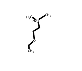 CCOC[CH2][SnH]([CH3])[CH3]